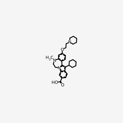 CN1CCn2c(c(C3CCCCC3)c3ccc(C(=O)O)cc32)-c2ccc(OCCN3CCCCC3)cc21